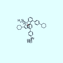 CCC1=Cc2c(-c3ccc(C4CCCCC4)cc3)cccc2[CH]1[Zr]([CH3])([CH3])(=[SiH2])[CH]1C(C2CCCCC2)=Cc2c(-c3ccc(C(C)C)cc3)cccc21.Cl.Cl